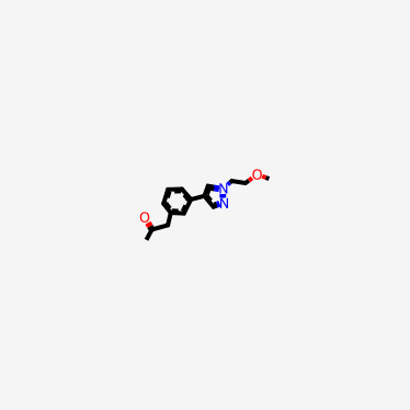 COCCn1cc(-c2cccc(CC(C)=O)c2)cn1